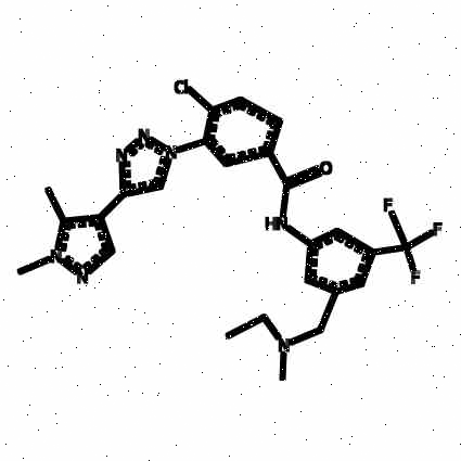 CCN(C)Cc1cc(NC(=O)c2ccc(Cl)c(-n3cc(-c4cnn(C)c4C)nn3)c2)cc(C(F)(F)F)c1